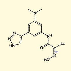 CC(=O)/C(=N/O)C(=O)Nc1cc(-c2c[nH]nn2)cc(N(C)C)c1